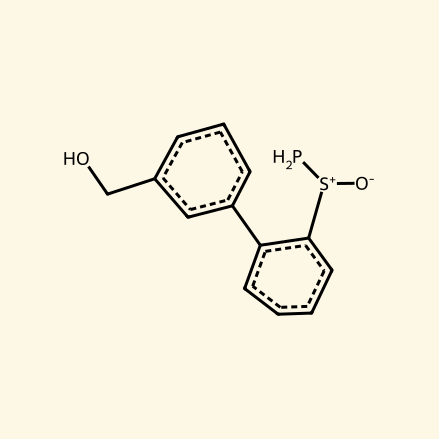 [O-][S+](P)c1ccccc1-c1cccc(CO)c1